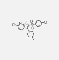 CC1CCN(c2c(S(=O)(=O)c3ccc(Cl)cc3)sc3nc(Cl)ccc23)CC1